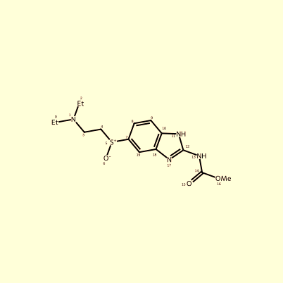 CCN(CC)CC[S+]([O-])c1ccc2[nH]c(NC(=O)OC)nc2c1